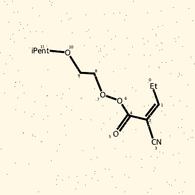 CCC=C(C#N)C(=O)OOCCOC(C)CCC